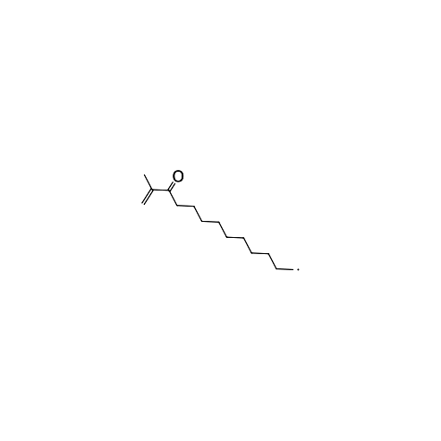 [CH2]CCCCCCCCCC(=O)C(=C)C